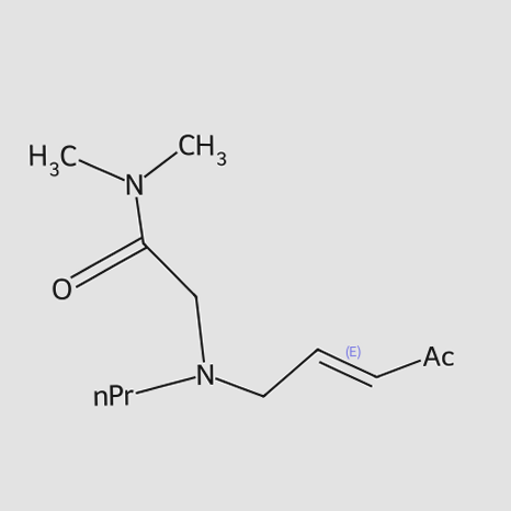 CCCN(C/C=C/C(C)=O)CC(=O)N(C)C